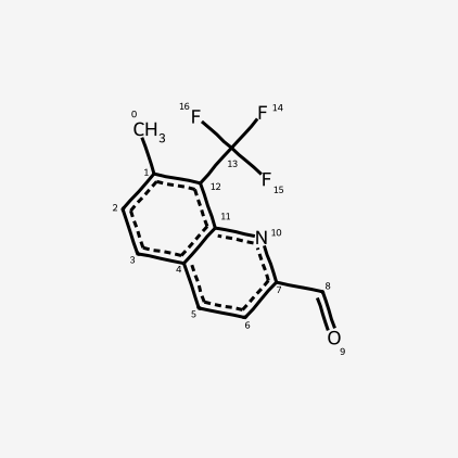 Cc1ccc2ccc(C=O)nc2c1C(F)(F)F